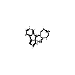 OC1CCNCCC1C1c2ccccc2-c2cncn21